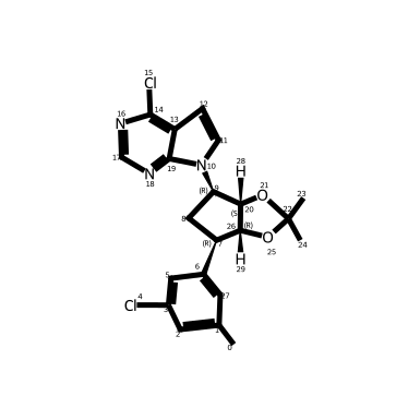 Cc1cc(Cl)cc([C@H]2C[C@@H](n3ccc4c(Cl)ncnc43)[C@@H]3OC(C)(C)O[C@@H]32)c1